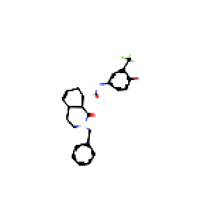 O=C(Nc1ccc(Br)c(C(F)(F)F)c1)[C@H]1CC=CC2CCN(Cc3ccccc3)C(=O)C21